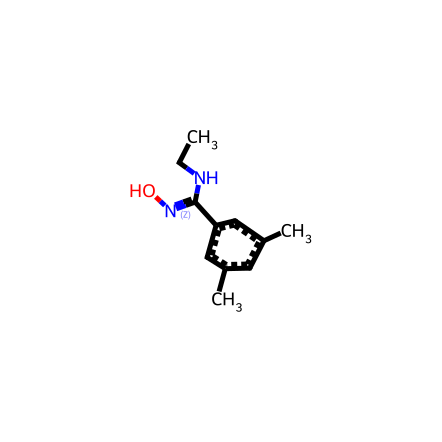 CCN/C(=N\O)c1cc(C)cc(C)c1